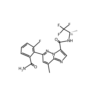 Cc1cc(-c2c(F)cccc2C(N)=O)nn2c(C(=O)N[C@@H](C)C(F)(F)F)cnc12